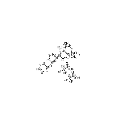 CC1(C)CCC(C)(C)c2cc(-c3nccc(OC4CCNCC4)n3)ccc21.O=C(O)C(F)(F)F.O=C(O)C(F)(F)F